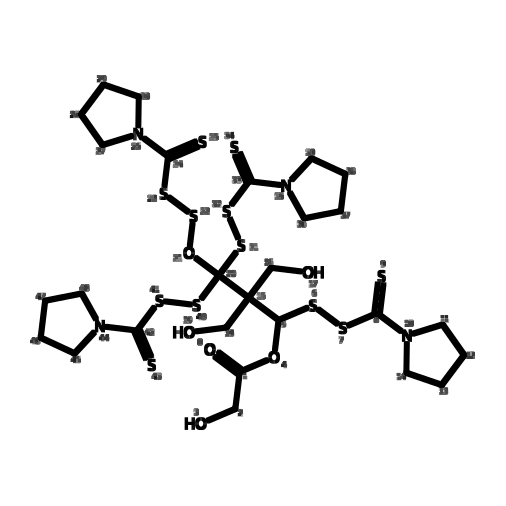 O=C(CO)OC(SSC(=S)N1CCCC1)C(CO)(CO)C(OSSC(=S)N1CCCC1)(SSC(=S)N1CCCC1)SSC(=S)N1CCCC1